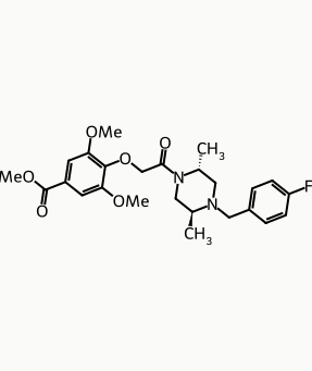 COC(=O)c1cc(OC)c(OCC(=O)N2C[C@H](C)N(Cc3ccc(F)cc3)C[C@H]2C)c(OC)c1